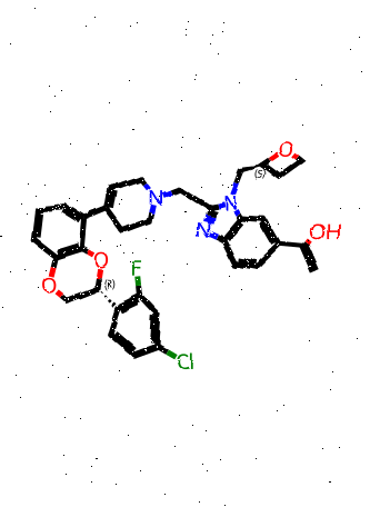 C=C(O)c1ccc2nc(CN3CC=C(c4cccc5c4O[C@H](c4ccc(Cl)cc4F)CO5)CC3)n(C[C@@H]3CCO3)c2c1